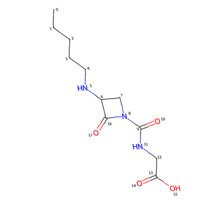 CCCCCNC1CN(C(=O)NCC(=O)O)C1=O